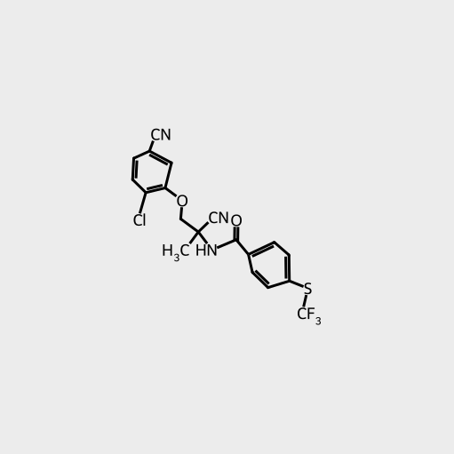 CC(C#N)(COc1cc(C#N)ccc1Cl)NC(=O)c1ccc(SC(F)(F)F)cc1